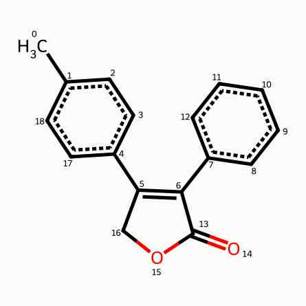 Cc1ccc(C2=C(c3ccccc3)C(=O)OC2)cc1